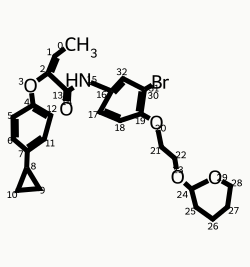 CC=C(Oc1ccc(C2CC2)cc1)C(=O)Nc1ccc(OCCOC2CCCCO2)c(Br)c1